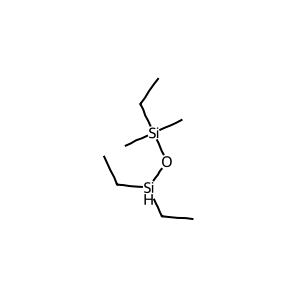 CC[SiH](CC)O[Si](C)(C)CC